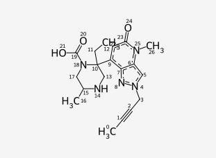 CC#CCn1cc2c(n1)c(C1(CC)CNC(C)CN1C(=O)O)cc(=O)n2C